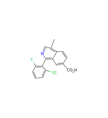 Cc1cnc(-c2c(F)cccc2Cl)c2cc(C(=O)O)ccc12